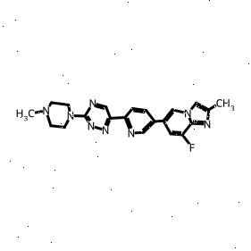 Cc1cn2cc(-c3ccc(-c4cnc(N5CCN(C)CC5)nn4)nc3)cc(F)c2n1